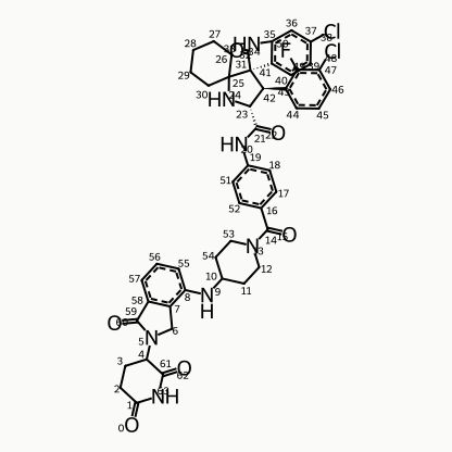 O=C1CCC(N2Cc3c(NC4CCN(C(=O)c5ccc(NC(=O)[C@@H]6NC7(CCCCC7)[C@@]7(C(=O)Nc8cc(Cl)ccc87)[C@H]6c6cccc(Cl)c6F)cc5)CC4)cccc3C2=O)C(=O)N1